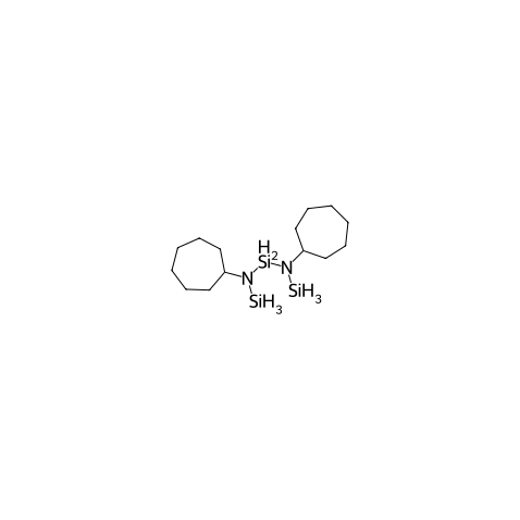 [SiH3]N([SiH2]N([SiH3])C1CCCCCC1)C1CCCCCC1